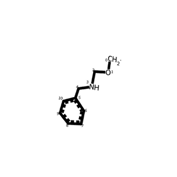 [CH2]OCNCc1ccccc1